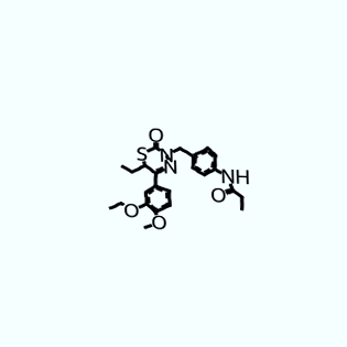 CCOc1cc(C2=NN(Cc3ccc(NC(=O)CC)cc3)C(=O)SC2CC)ccc1OC